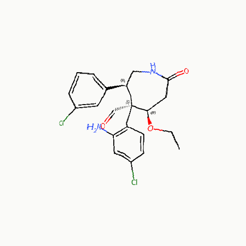 CCO[C@@H]1CC(=O)NC[C@H](c2cccc(Cl)c2)[C@]1(C=O)c1ccc(Cl)cc1N